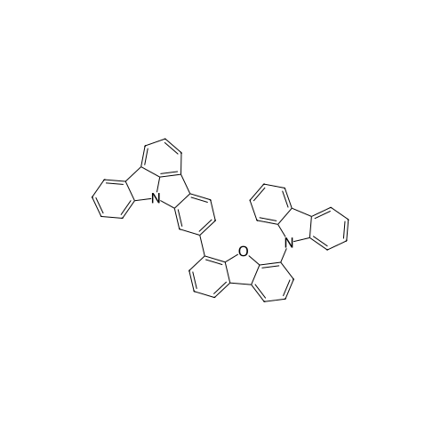 c1cc(-c2ccc3c4cccc5c6ccccc6n(c3c2)c54)c2oc3c(-n4c5ccccc5c5ccccc54)cccc3c2c1